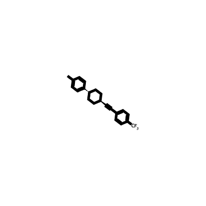 Cc1ccc([C@H]2CC[C@H](C#Cc3ccc(C(F)(F)F)cc3)CC2)cc1